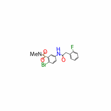 CNS(=O)(=O)c1cc(NC(=O)Cc2ccccc2F)ccc1Br